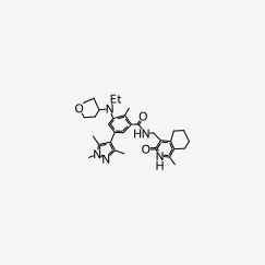 CCN(c1cc(-c2c(C)nn(C)c2C)cc(C(=O)NCc2c3c(c(C)[nH]c2=O)CCCC3)c1C)C1CCOCC1